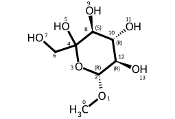 CO[C@@H]1OC(O)(CO)[C@@H](O)[C@H](O)[C@H]1O